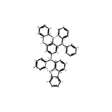 c1ccc(N(c2ccccc2)c2cc(N(c3ccccc3)c3cccc4c3oc3ccccc34)cc3c2Sc2ccccc2S3)cc1